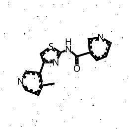 Cc1ccncc1-c1csc(NC(=O)c2cccnc2)n1